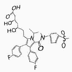 CC(C)n1c(CC[C@@H](O)C[C@@H](O)CC(=O)O)c(-c2ccc(F)cc2)c(-c2ccc(F)cc2)c1C(=O)N(C)c1ccc(S(C)(=O)=O)cc1